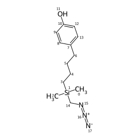 C[Si](C)(CCCCc1ccc(O)cc1)CN=[N+]=[N-]